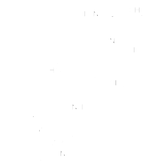 C=C(N)N(I)/C=C(\C)C(O)N[C@H]1CN2CCC1CC2